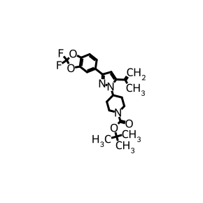 C=C(C)c1cc(-c2ccc3c(c2)OC(F)(F)O3)nn1C1CCN(C(=O)OC(C)(C)C)CC1